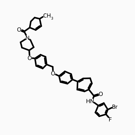 CC1C=CC(C(=O)N2CCC(Oc3ccc(COc4ccc(C5=CCC=C(C(=O)Nc6ccc(F)c(Br)c6)C=C5)cc4)cc3)CC2)CC1